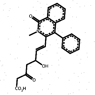 Cn1c(C=CC(O)CC(=O)CC(=O)O)c(-c2ccccc2)c2ccccc2c1=O